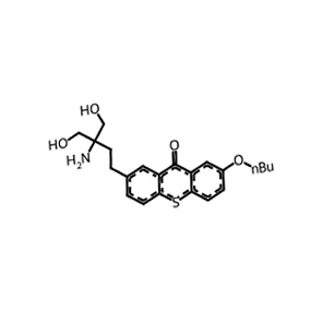 CCCCOc1ccc2sc3ccc(CCC(N)(CO)CO)cc3c(=O)c2c1